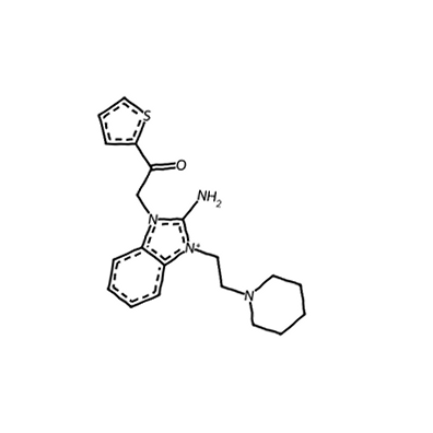 Nc1n(CC(=O)c2cccs2)c2ccccc2[n+]1CCN1CCCCC1